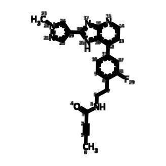 CC#CC(=O)NCCc1ccc(-c2ccnc3nc(-c4cnn(C)c4)[nH]c23)cc1F